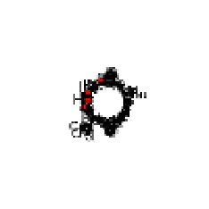 CC[C@H](C)[C@H]1CN(C)CCN(C)CCN(C)[C@@H](CC2CCCCC2)CN(C)CCN[C@@H](CCc2cc(Cl)c(Cl)c(Cl)c2)CN2CCC[C@H]2CNC2(CCCC2)CN(C)[C@@H](C(C)C)CN(C)[C@H](C(=O)N2CCCCC2)CCN(C)[C@@H](C)CN1